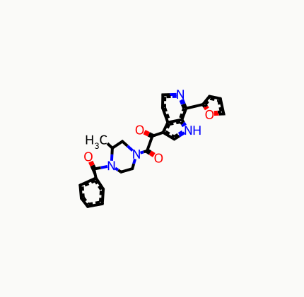 CC1CN(C(=O)C(=O)c2c[nH]c3c(-c4ccco4)nccc23)CCN1C(=O)c1ccccc1